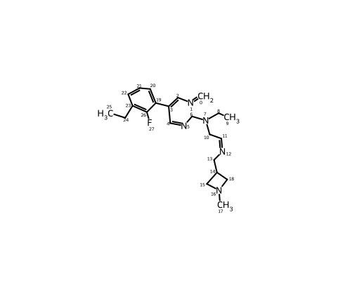 C=N/C=C(\C=N/CN(CC)C/C=N\CC1CN(C)C1)c1cccc(CC)c1F